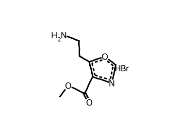 Br.COC(=O)c1ncoc1CCN